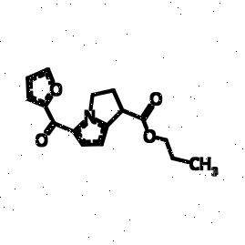 CCCOC(=O)C1CCn2c(C(=O)c3ccco3)ccc21